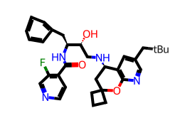 CC(C)(C)Cc1cnc2c(c1)[C@@H](NC[C@@H](O)[C@H](Cc1ccccc1)NC(=O)c1ccncc1F)CC1(CCC1)O2